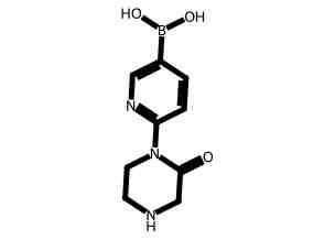 O=C1CNCCN1c1ccc(B(O)O)cn1